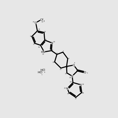 Cl.Cl.O=C1OC2(CCC(c3nc4cc(OC(F)(F)F)ccc4[nH]3)CC2)CN1c1ncccn1